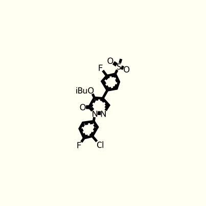 CC(C)COc1c(-c2ccc(S(C)(=O)=O)c(F)c2)cnn(-c2ccc(F)c(Cl)c2)c1=O